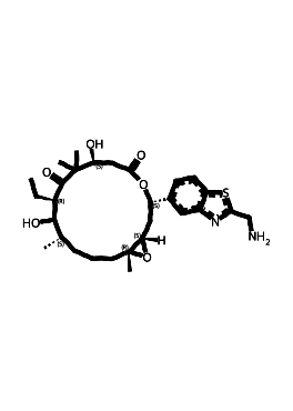 CC[C@H]1C(=O)C(C)(C)[C@@H](O)CC(=O)O[C@H](c2ccc3sc(CN)nc3c2)C[C@@H]2O[C@]2(C)CCC[C@H](C)C1O